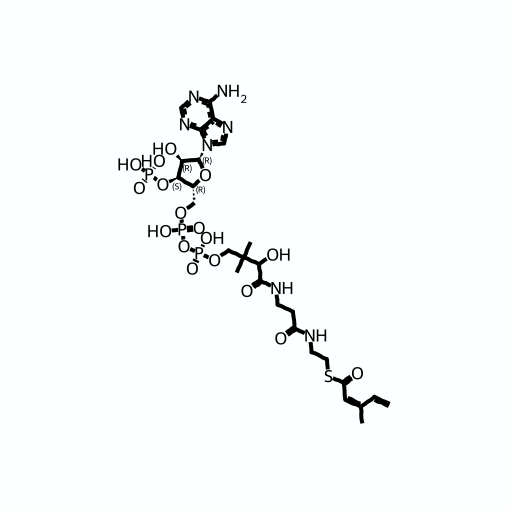 C=CC(C)=CC(=O)SCCNC(=O)CCNC(=O)C(O)C(C)(C)COP(=O)(O)OP(=O)(O)OC[C@H]1O[C@@H](n2cnc3c(N)ncnc32)[C@H](O)[C@@H]1OP(=O)(O)O